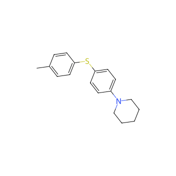 Cc1ccc(Sc2ccc(N3CCCCC3)cc2)cc1